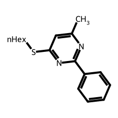 CCC[CH]CCSc1cc(C)nc(-c2ccccc2)n1